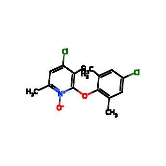 Cc1cc(Cl)cc(C)c1Oc1c(C)c(Cl)cc(C)[n+]1[O-]